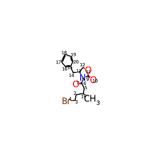 C[C@@H](CCBr)CC(=O)N1C(=O)OC[C@@H]1Cc1ccccc1